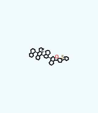 c1ccc2c(-c3c4ccccc4c(-c4ccc(-c5cc6oc7c(ccc8c9ccccc9sc87)c6c6ccccc56)c5ccccc45)c4ccccc34)cccc2c1